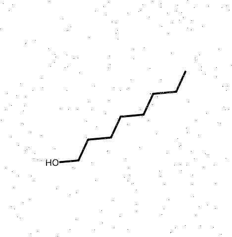 CC[CH]CCCCCO